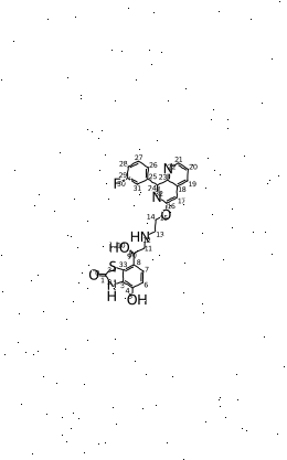 O=c1[nH]c2c(O)ccc([C@@H](O)CNCCOc3cc4cccnc4c(-c4cccc(F)c4)n3)c2s1